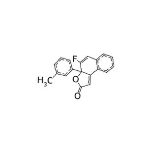 Cc1cccc(C23OC(=O)C=C2c2ccccc2C=C3F)c1